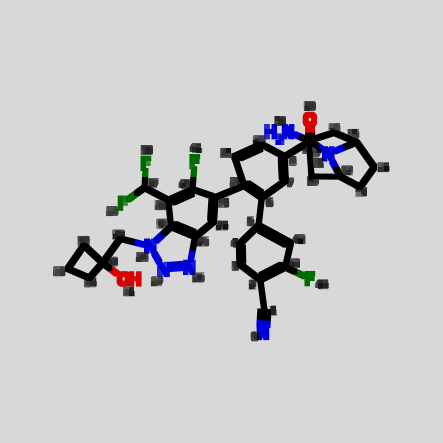 N#Cc1ccc(-c2cc(C(=O)N3C4CCC3CC(N)C4)ccc2-c2cc3nnn(CC4(O)CCC4)c3c(C(F)F)c2F)cc1F